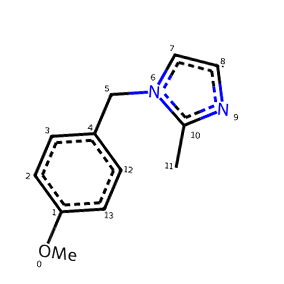 COc1ccc(Cn2c[c]nc2C)cc1